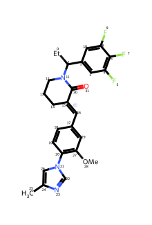 CCC(c1cc(F)c(F)c(F)c1)N1CCC/C(=C\c2ccc(-n3cnc(C)c3)c(OC)c2)C1=O